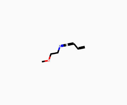 C=CC=C=NCCOC